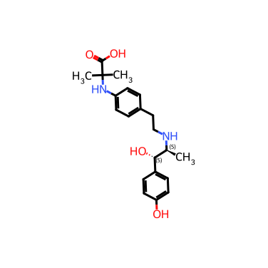 C[C@H](NCCc1ccc(NC(C)(C)C(=O)O)cc1)[C@@H](O)c1ccc(O)cc1